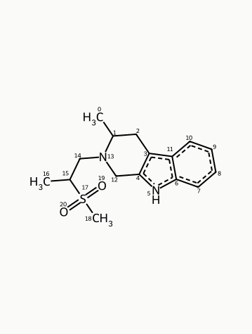 CC1Cc2c([nH]c3ccccc23)CN1CC(C)S(C)(=O)=O